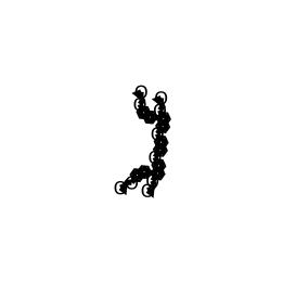 c1cc2ccc(-c3c(OCC4CO4)ccc4ccc(Oc5ccc6ccc(Oc7ccc8ccc(OCC9CO9)c(-c9ccc%10ccc(OCC%11CO%11)cc%10c9)c8c7)cc6c5)cc34)cc2cc1OCC1CO1